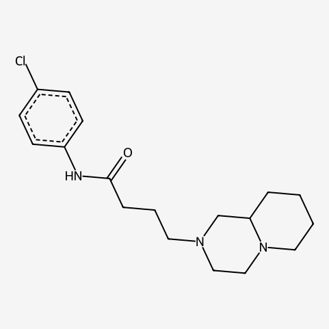 O=C(CCCN1CCN2CCCCC2C1)Nc1ccc(Cl)cc1